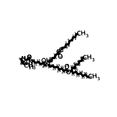 CCCCCCCCCCCOC(=O)CCCCCN(CCCCCCCC(=O)OC(CCCCCCCC)CCCCCCCC)CC(O)CCCCNC(=O)c1nccn1C